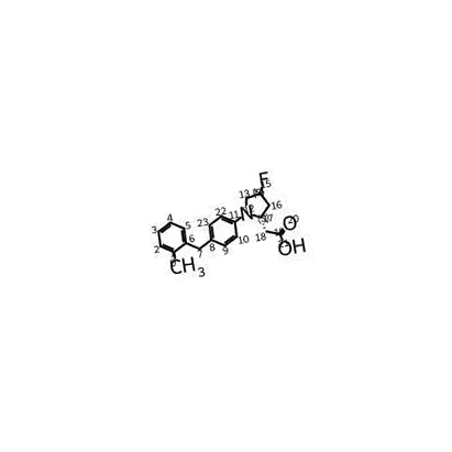 Cc1ccccc1Cc1ccc(N2C[C@@H](F)C[C@@H]2CC(=O)O)cc1